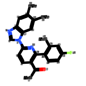 COC(=O)c1ccc(-n2cnc3cc(OC)c(OC)cc32)nc1-c1ccc(F)cc1OC